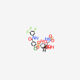 C[C@H]1CC2CC(S(=O)(=O)c3cc(C(=O)Nc4cc(F)c(F)c(F)c4)ccc3Cl)C[C@H]1[C@@]2(O)C(O)C(O)CNS(C)(=O)=O